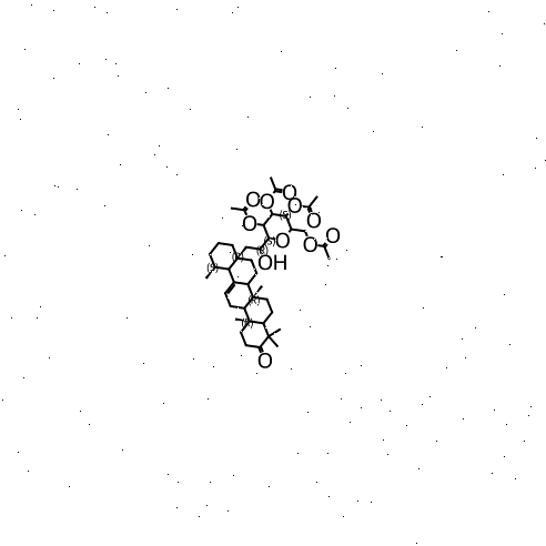 CC(=O)OCC1O[C@@H]([C@H](O)C[C@]23CCC[C@H](C)C2C2=CCC4[C@@](C)(CCC5C(C)(C)C(=O)CC[C@@]54C)C2CC3)C(OC(C)=O)C(OC(C)=O)[C@H]1OC(C)=O